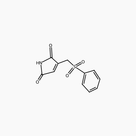 O=C1C=C(CS(=O)(=O)c2ccccc2)C(=O)N1